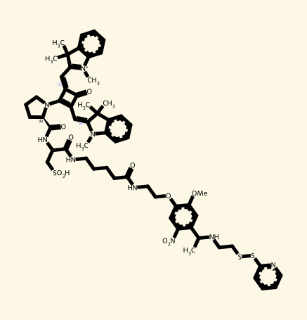 COc1cc(C(C)NCCSSc2ccccn2)c([N+](=O)[O-])cc1OCCNC(=O)CCCCNC(=O)C(CS(=O)(=O)O)NC(=O)[C@H]1CCCN1C1=C(/C=C2/N(C)c3ccccc3C2(C)C)C(=O)/C1=C\C1=[N+](C)c2ccccc2C1(C)C